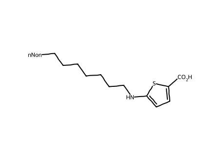 CCCCCCCCCCCCCCCCNc1ccc(C(=O)O)s1